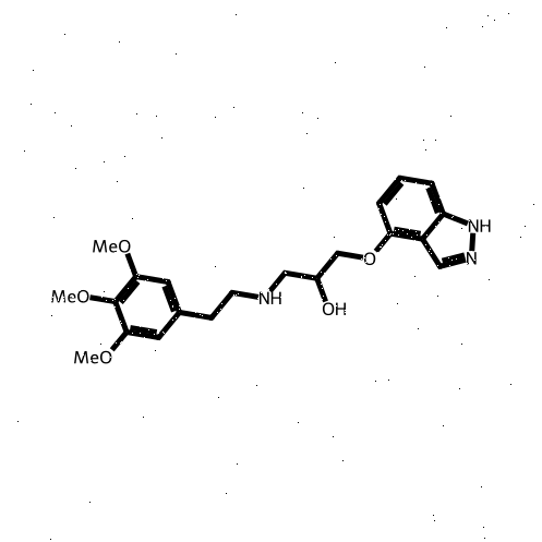 COc1cc(CCNCC(O)COc2cccc3[nH]ncc23)cc(OC)c1OC